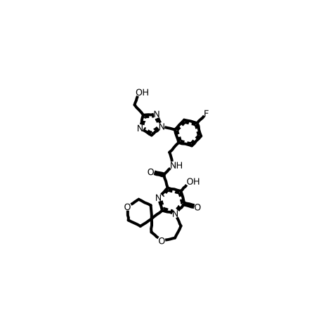 O=C(NCc1ccc(F)cc1-n1cnc(CO)n1)c1nc2n(c(=O)c1O)CCOCC21CCOCC1